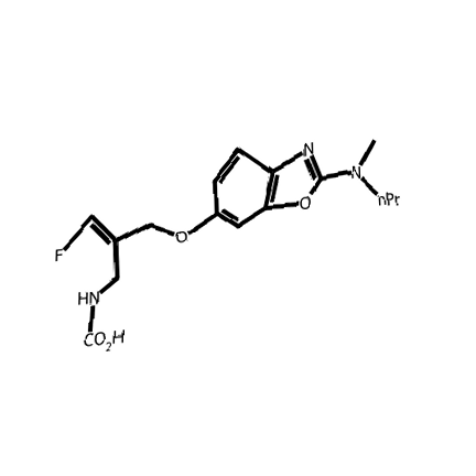 CCCN(C)c1nc2ccc(OCC(=CF)CNC(=O)O)cc2o1